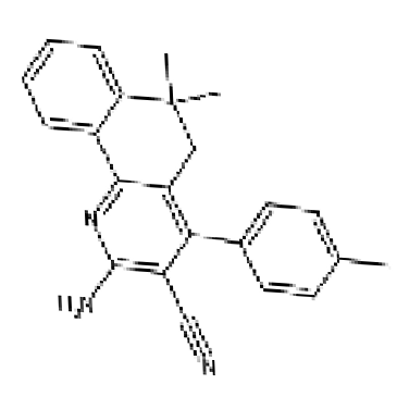 Cc1ccc(-c2c(C#N)c(N)nc3c2CC(C)(C)c2ccccc2-3)cc1